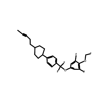 CC#CCCC1CCC(c2ccc(C(F)(F)Oc3cc(F)c(OCF)c(F)c3)cc2)CC1